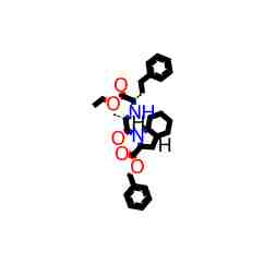 CCOC(=O)[C@H](CCc1ccccc1)N[C@@H](C)C(=O)N1C(C(=O)OCc2ccccc2)C[C@@H]2CCCC[C@@H]21